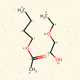 CCCCOC(C)=O.CCOCCO